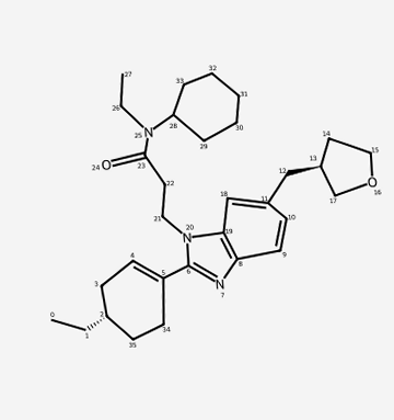 CC[C@@H]1CC=C(c2nc3ccc(C[C@H]4CCOC4)cc3n2CCC(=O)N(CC)C2CCCCC2)CC1